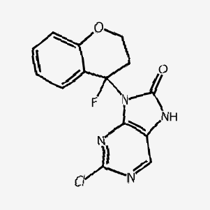 O=c1[nH]c2cnc(Cl)nc2n1C1(F)CCOc2ccccc21